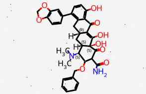 CN(C)[C@@H]1C(OCc2ccccc2)C(C(N)=O)C(=O)[C@@]2(O)C(O)=C3C(=O)c4c(O)ccc(-c5ccc6c(c5)OCO6)c4C[C@H]3C[C@@H]12